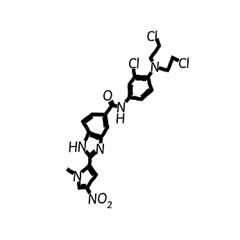 Cn1cc([N+](=O)[O-])cc1-c1nc2cc(C(=O)Nc3ccc(N(CCCl)CCCl)c(Cl)c3)ccc2[nH]1